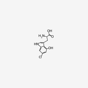 NC(Cc1c[nH]c2cc(Cl)cc(O)c12)C(=O)O